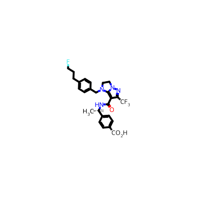 C[C@H](NC(=O)c1c(C(F)(F)F)nn2c1N(Cc1ccc(CCCF)cc1)CC2)c1ccc(C(=O)O)cc1